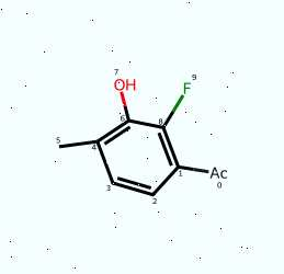 CC(=O)c1ccc(C)c(O)c1F